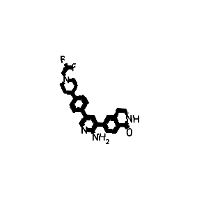 Nc1ncc(-c2ccc(C3CCN(CC(F)F)CC3)cc2)cc1-c1ccc2c(c1)CCNC2=O